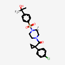 C[C@@H]1CN(C(=O)C2(c3ccc(Cl)cc3)CC2)CCN1S(=O)(=O)c1ccc(C(C)(O)C(F)(F)F)cc1